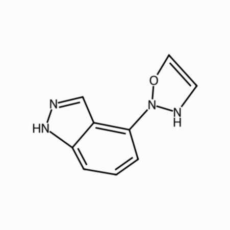 C1=CON(c2cccc3[nH]ncc23)N1